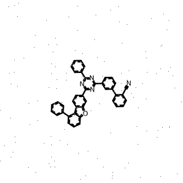 N#Cc1ccccc1-c1cccc(-c2nc(-c3ccccc3)nc(-c3ccc4c(c3)oc3cccc(-c5ccccc5)c34)n2)c1